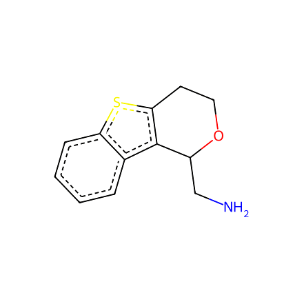 NCC1OCCc2sc3ccccc3c21